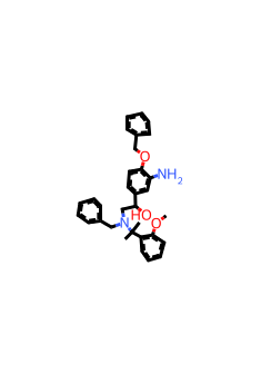 COc1ccccc1C(C)(C)N(Cc1ccccc1)CC(O)c1ccc(OCc2ccccc2)c(N)c1